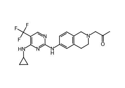 CC(=O)CN1CCc2cc(Nc3ncc(C(F)(F)F)c(NC4CC4)n3)ccc2C1